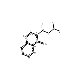 CC(C)C[C@@H](C)n1cnc2ccccc2c1=O